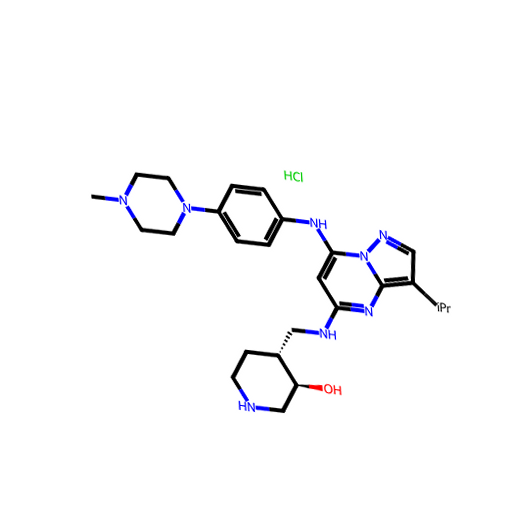 CC(C)c1cnn2c(Nc3ccc(N4CCN(C)CC4)cc3)cc(NC[C@H]3CCNC[C@@H]3O)nc12.Cl